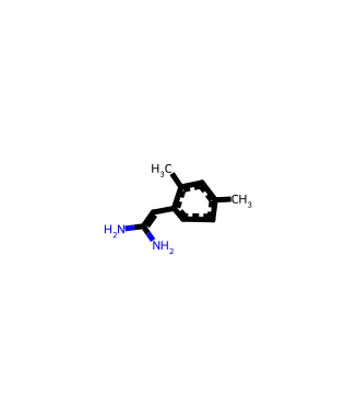 Cc1ccc(C=C(N)N)c(C)c1